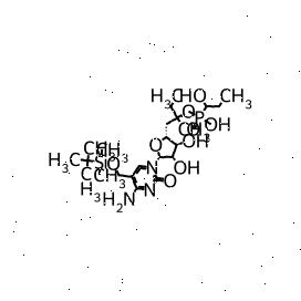 CCC(O)P(=O)(O)OC(C)(CC)C[C@H]1O[C@@H](n2cc(CO[Si](C)(C)C(C)(C)C)c(N)nc2=O)[C@H](O)[C@@H]1O